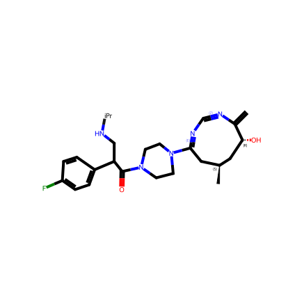 C=C1/N=C\N=C(\N2CCN(C(=O)C(CNC(C)C)c3ccc(F)cc3)CC2)C[C@H](C)C[C@H]1O